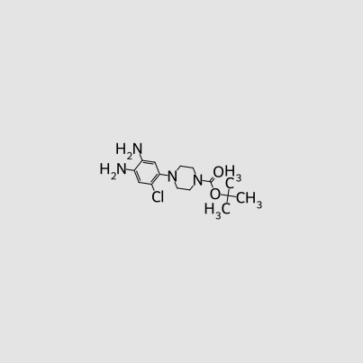 CC(C)(C)OC(=O)N1CCN(c2cc(N)c(N)cc2Cl)CC1